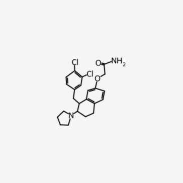 NC(=O)COc1ccc2c(c1)C(Cc1ccc(Cl)c(Cl)c1)C(N1CCCC1)CC2